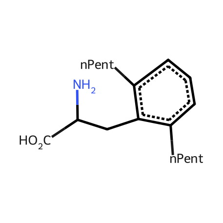 CCCCCc1cccc(CCCCC)c1CC(N)C(=O)O